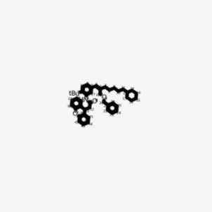 CC(C)(C)c1ccc(C=C(CCCCCC2CCCCC2)COCc2ccccc2)cc1NC(=O)CC1c2ccccc2Oc2ccccc21